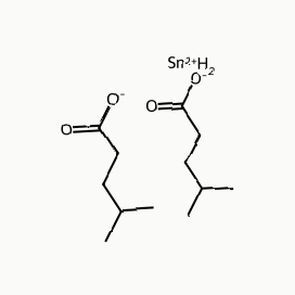 CC(C)CCC(=O)[O-].CC(C)CCC(=O)[O-].[SnH2+2]